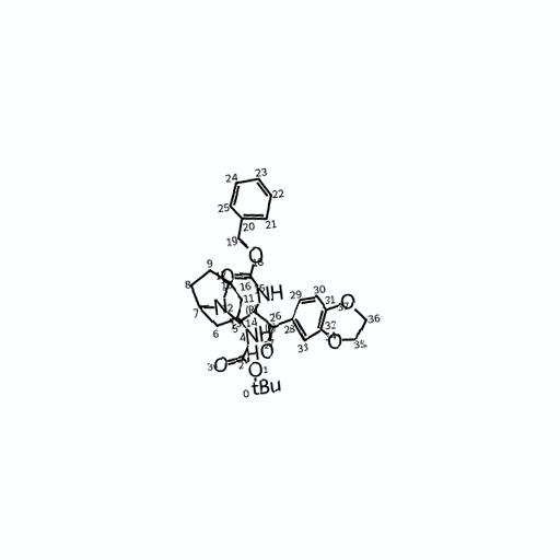 CC(C)(C)OC(=O)NC1CC2CCC(C1)N2C[C@@H](NC(=O)OCc1ccccc1)[C@H](O)c1ccc2c(c1)OCCO2